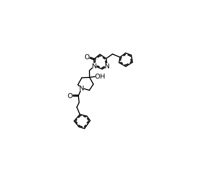 O=C(CCc1ccccc1)N1CCC(O)(Cn2cnc(Cc3ccccc3)cc2=O)CC1